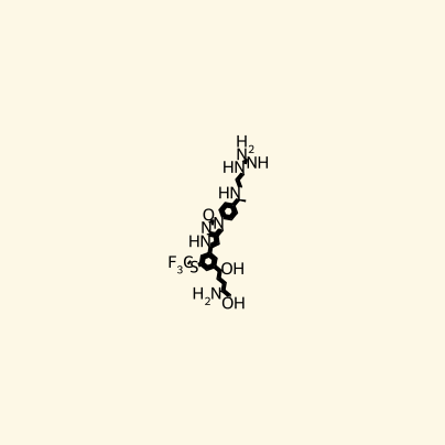 C[C@H](NCCCNC(=N)N)c1ccc(-n2cc3cc(-c4cc(SC(F)(F)F)cc([C@H](O)CC[C@@H](N)CO)c4)[nH]c3nc2=O)cc1